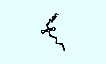 [C-]#[N+]CS(=O)(=O)CCCCC